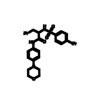 CC(C)CC(NS(=O)(=O)c1ccc(C(C)C)cc1)C(=O)Nc1ccc(N2CCOCC2)cc1